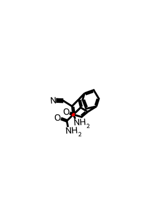 N#Cc1c(C(N)=O)cc2c(C(N)=O)c1-c1ccc-2cc1